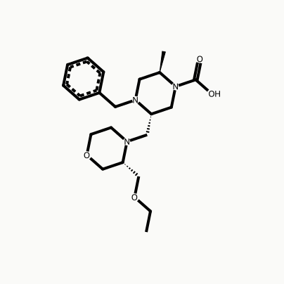 CCOC[C@@H]1COCCN1C[C@H]1CN(C(=O)O)[C@H](C)CN1Cc1ccccc1